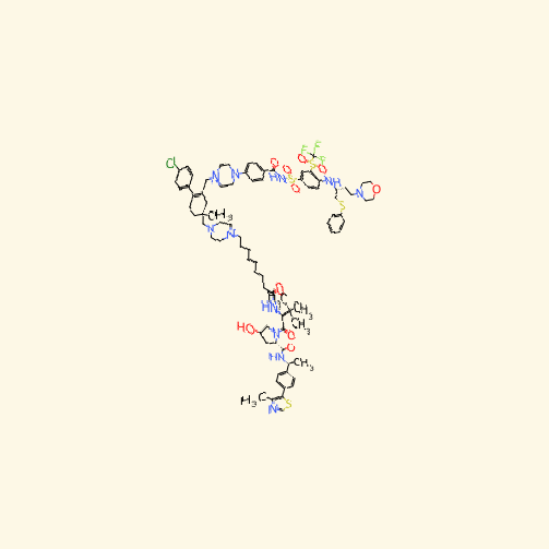 Cc1ncsc1-c1ccc([C@H](C)NC(=O)[C@@H]2C[C@@H](O)CN2C(=O)[C@@H](NC(=O)CCCCCCCCN2CCN(CC3(C)CCC(c4ccc(Cl)cc4)=C(CN4CCN(c5ccc(C(=O)NS(=O)(=O)c6ccc(N[C@H](CCN7CCOCC7)CSc7ccccc7)c(S(=O)(=O)C(F)(F)F)c6)cc5)CC4)C3)CC2)C(C)(C)C)cc1